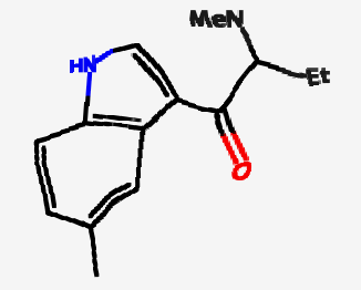 CCC(NC)C(=O)c1c[nH]c2ccc(C)cc12